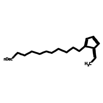 CC=C1C=CC=C1CCCCCCCCCCCCCCCCCCCC